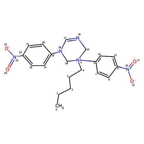 CCCCC[N+]1(c2ccc([N+](=O)[O-])cc2)CN=CN(c2ccc([N+](=O)[O-])cc2)C1